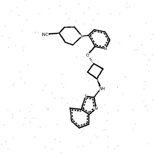 N#CC1CCN(c2cccnc2O[C@H]2C[C@H](Nc3nc4ccccc4s3)C2)CC1